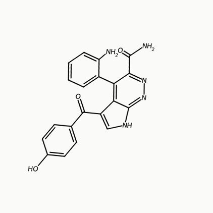 NC(=O)c1nnc2[nH]cc(C(=O)c3ccc(O)cc3)c2c1-c1ccccc1N